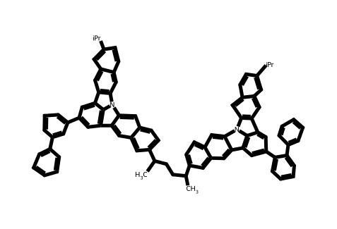 CC(C)c1ccc2cc3c(cc2c1)c1cc(-c2cccc(-c4ccccc4)c2)cc2c4cc5cc(C(C)CCC(C)c6ccc7cc8c(cc7c6)c6cc(-c7ccccc7-c7ccccc7)cc7c9cc%10cc(C(C)C)ccc%10cc9n8c76)ccc5cc4n3c12